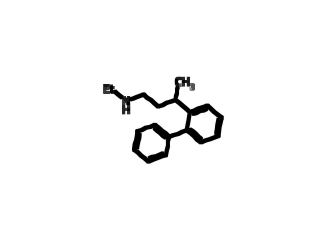 CCNCCC(C)c1ccccc1-c1ccccc1